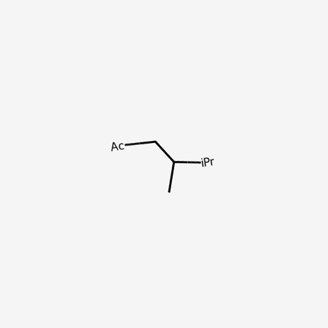 CC(=O)CC(C)C(C)C